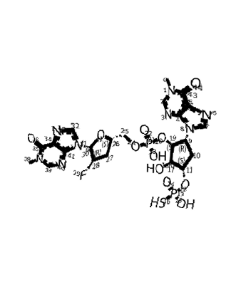 Cn1cnc2c(ncn2[C@@H]2C[C@H](OP(=O)(O)S)[C@@H](O)[C@H]2OP(=O)(O)OC[C@@H]2C[C@@H](F)[C@H](n3cnc4c(=O)n(C)cnc43)O2)c1=O